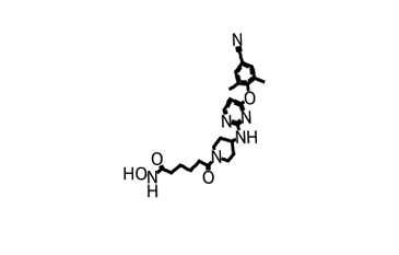 Cc1cc(C#N)cc(C)c1Oc1ccnc(NC2CCN(C(=O)CCCCC(=O)NO)CC2)n1